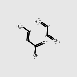 C/C=C/C(=O)O.C=CC=C